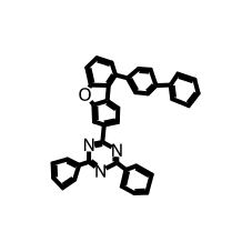 c1ccc(-c2ccc(-c3cccc4oc5cc(-c6nc(-c7ccccc7)nc(-c7ccccc7)n6)ccc5c34)cc2)cc1